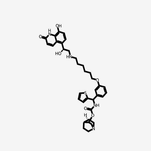 O=C(NC(c1cccc(OCCCCCCNC[C@@H](O)c2ccc(O)c3[nH]c(=O)ccc23)c1)c1cccs1)O[C@H]1CN2CCC1CC2